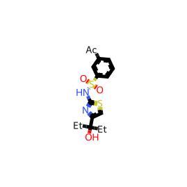 CCC(O)(CC)c1csc(NS(=O)(=O)c2cccc(C(C)=O)c2)n1